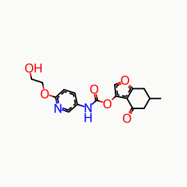 CC1CC(=O)c2c(OC(=O)Nc3ccc(OCCO)nc3)coc2C1